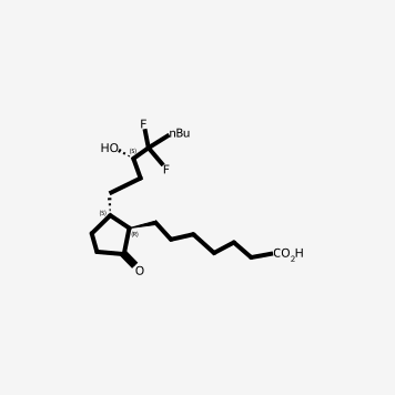 CCCCC(F)(F)[C@@H](O)CC[C@H]1CCC(=O)[C@@H]1CCCCCCC(=O)O